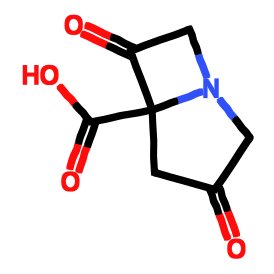 O=C1CN2CC(=O)C2(C(=O)O)C1